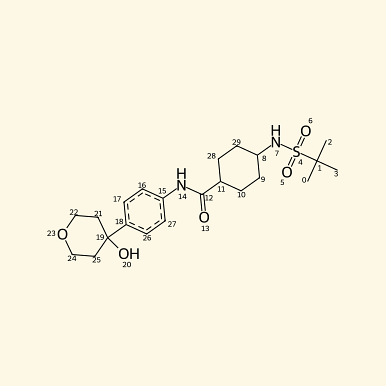 CC(C)(C)S(=O)(=O)NC1CCC(C(=O)Nc2ccc(C3(O)CCOCC3)cc2)CC1